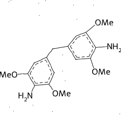 COc1cc(Cc2cc(OC)c(N)c(OC)c2)cc(OC)c1N